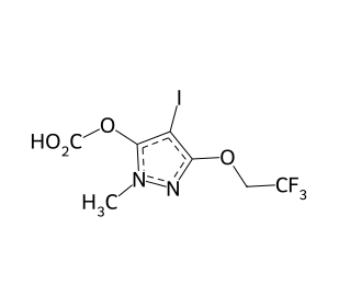 Cn1nc(OCC(F)(F)F)c(I)c1OC(=O)O